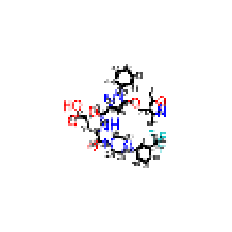 Cc1noc(C)c1COc1cc(C(=O)N[C@@H](CCC(=O)O)C(=O)N2CCN(c3cccc(C(F)(F)F)c3)CC2)nn1-c1ccccc1